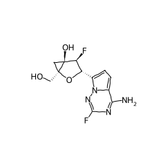 Nc1nc(F)nn2c([C@@H]3O[C@@]4(CO)C[C@]4(O)[C@H]3F)ccc12